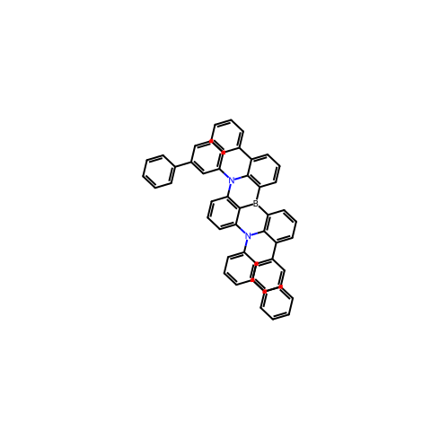 c1ccc(-c2cccc(N3c4cccc5c4B(c4cccc(-c6ccccc6)c43)c3cccc(-c4ccccc4)c3N5c3cccc(-c4ccccc4)c3)c2)cc1